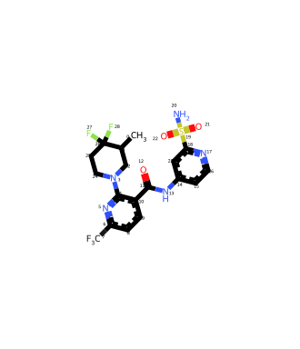 CC1CN(c2nc(C(F)(F)F)ccc2C(=O)Nc2ccnc(S(N)(=O)=O)c2)CCC1(F)F